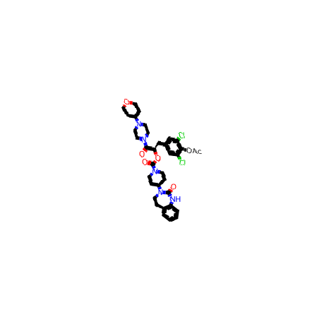 CC(=O)Oc1c(Cl)cc(C[C@@H](OC(=O)N2CCC(N3CCc4ccccc4NC3=O)CC2)C(=O)N2CCN(C3CCOCC3)CC2)cc1Cl